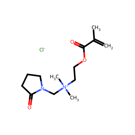 C=C(C)C(=O)OCC[N+](C)(C)CN1CCCC1=O.[Cl-]